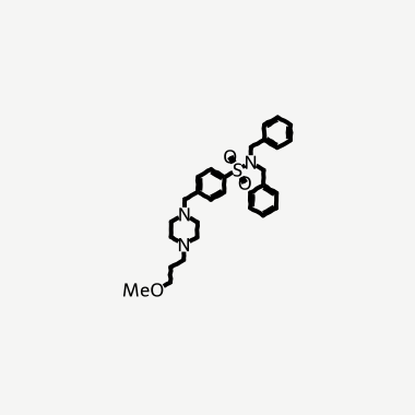 COCCCN1CCN(Cc2ccc(S(=O)(=O)N(Cc3ccccc3)Cc3ccccc3)cc2)CC1